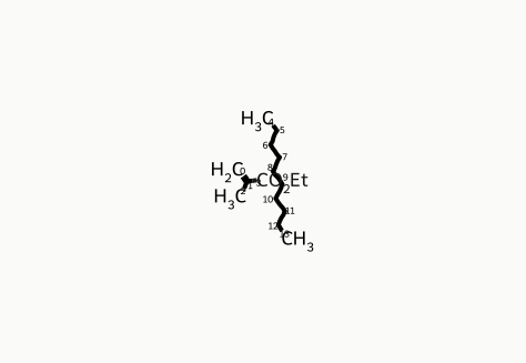 C=C(C)C(=O)OCC.CCCCCCCCCC